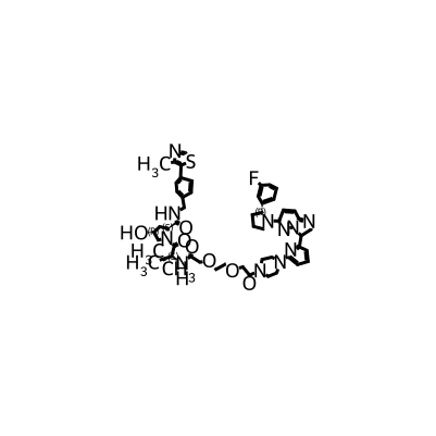 Cc1ncsc1-c1ccc(CNC(=O)[C@@H]2C[C@@H](O)CN2C(=O)[C@@H](NC(=O)COCCOCC(=O)N2CCN(c3cccc(C4CN=C5C=CC(N6CCC[C@@H]6c6cccc(F)c6)=NN54)n3)CC2)C(C)(C)C)cc1